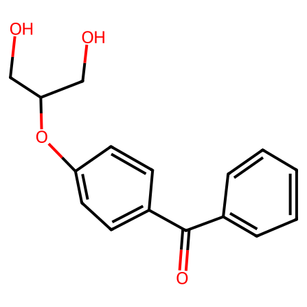 O=C(c1ccccc1)c1ccc(OC(CO)CO)cc1